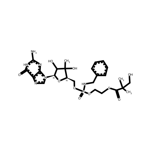 CC(C)(CO)C(=O)SCCOP(=O)(NCc1ccccc1)OC[C@H]1O[C@@H](n2cnc3c(=O)[nH]c(N)nc32)C(O)C1(C)O